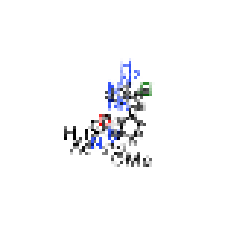 COCC1CN(C(C)=O)C(C)(C)C(=O)N1c1cccc(-c2cc(Cl)c3c(N)ncnn23)c1